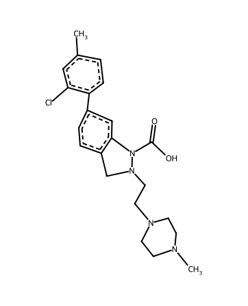 Cc1ccc(-c2ccc3c(c2)N(C(=O)O)N(CCN2CCN(C)CC2)C3)c(Cl)c1